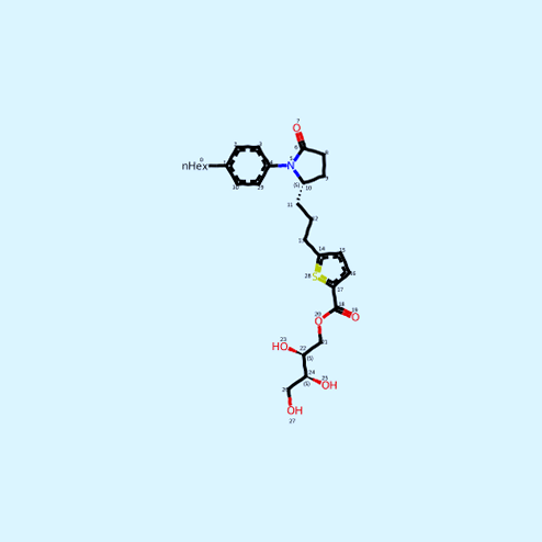 CCCCCCc1ccc(N2C(=O)CC[C@@H]2CCCc2ccc(C(=O)OC[C@H](O)[C@@H](O)CO)s2)cc1